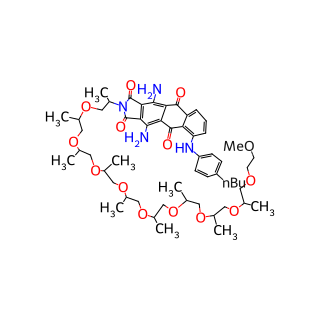 CCCCc1ccc(Nc2cccc3c(=O)c4c(N)c5c(=O)n(C(C)COC(C)COC(C)COC(C)COC(C)COC(C)COC(C)COC(C)COC(C)COCCOC)c(=O)c5c(N)c4c(=O)c23)cc1